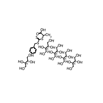 CC(SC(=S)SCc1ccccc1)C(=O)O.OC[C@@H](O)[C@@H](O)CO.OC[C@@H](O)[C@@H](O)CO.OC[C@@H](O)[C@@H](O)CO.OC[C@@H](O)[C@@H](O)CO.OC[C@@H](O)[C@@H](O)CO